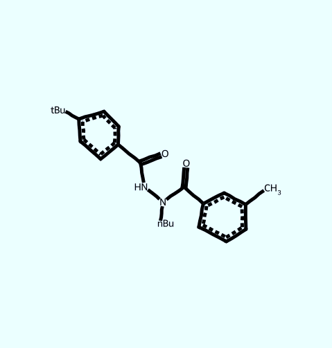 CCCCN(NC(=O)c1ccc(C(C)(C)C)cc1)C(=O)c1cccc(C)c1